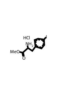 COC(=O)C(N)Cc1ccc(I)cc1.Cl